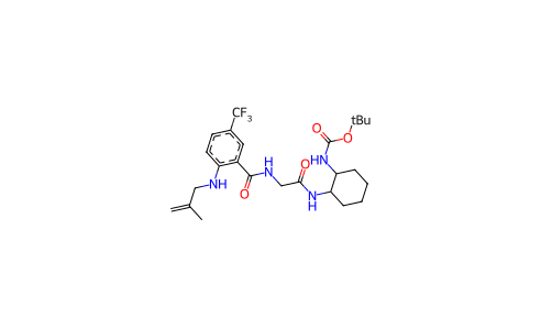 C=C(C)CNc1ccc(C(F)(F)F)cc1C(=O)NCC(=O)NC1CCCCC1NC(=O)OC(C)(C)C